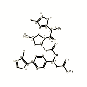 CNC(=O)C[C@H](NC(=O)C[C@@H]1C[C@@H](O)CN1C(=O)[C@@H](c1cc(C)no1)C(C)C)c1ccc(-c2scnc2C)cc1